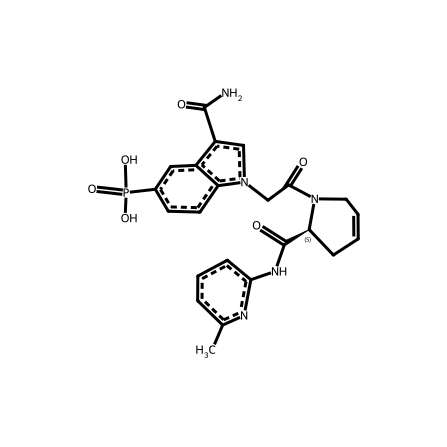 Cc1cccc(NC(=O)[C@@H]2CC=CCN2C(=O)Cn2cc(C(N)=O)c3cc(P(=O)(O)O)ccc32)n1